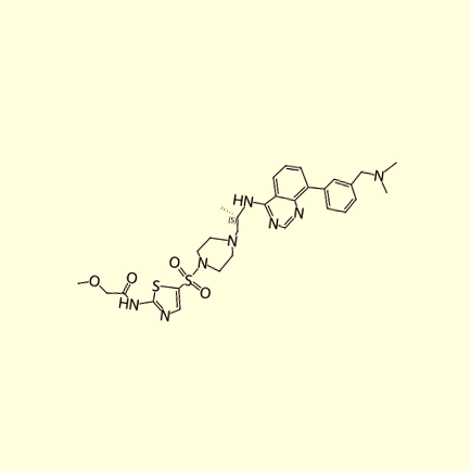 COCC(=O)Nc1ncc(S(=O)(=O)N2CCN(C[C@H](C)Nc3ncnc4c(-c5cccc(CN(C)C)c5)cccc34)CC2)s1